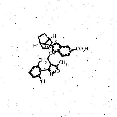 Cc1cccc(Cl)c1-c1noc(C)c1CO[C@@H]1C[C@H]2CC[C@@H](C1)[C@]2(O)c1nc2ccc(C(=O)O)cc2s1